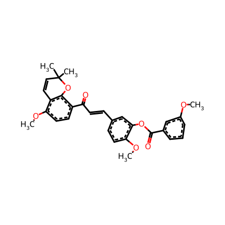 COc1cccc(C(=O)Oc2cc(C=CC(=O)c3ccc(OC)c4c3OC(C)(C)C=C4)ccc2OC)c1